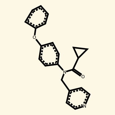 O=C(C1CC1)N(Cc1ccncc1)c1ccc(Oc2ccccc2)cc1